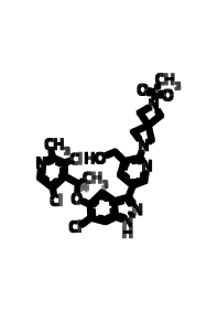 Cc1ncc(Cl)c([C@@H](C)Oc2cc3c(-c4cnc(N5CC6(C5)CN(S(C)(=O)=O)C6)c(CO)c4)n[nH]c3cc2Cl)c1Cl